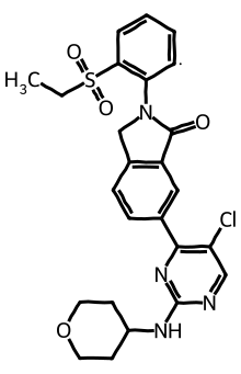 CCS(=O)(=O)c1ccc[c]c1N1Cc2ccc(-c3nc(NC4CCOCC4)ncc3Cl)cc2C1=O